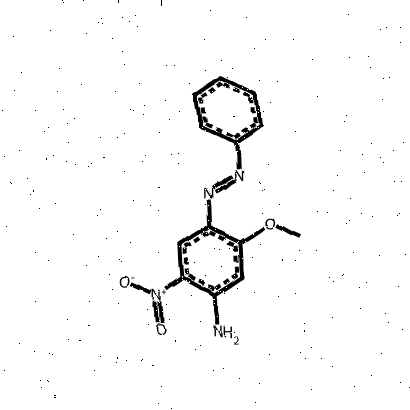 COc1cc(N)c([N+](=O)[O-])cc1N=Nc1ccccc1